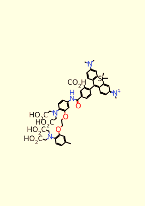 Cc1ccc(N(CC(=O)O)CC(=O)O)c(OCCOc2cc(NC(=O)c3ccc(C4=C5C=CC(=[N+](C)C)C=C5[Si](C)(C)c5cc(N(C)C)ccc54)c(C(=O)O)c3)ccc2N(CC(=O)O)CC(=O)O)c1